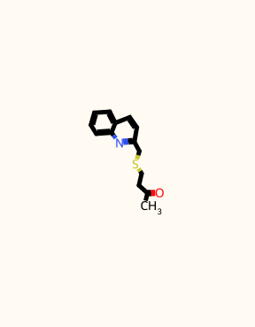 CC(=O)CCSCc1ccc2ccccc2n1